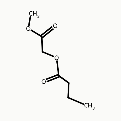 CCCC(=O)OCC(=O)OC